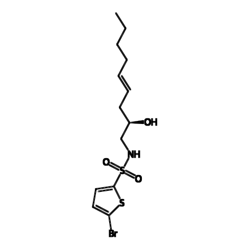 CCCCC=CC[C@@H](O)CNS(=O)(=O)c1ccc(Br)s1